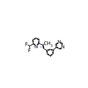 C/C(=C\c1cccc(-c2cncnc2)c1)c1cccc(C(F)F)n1